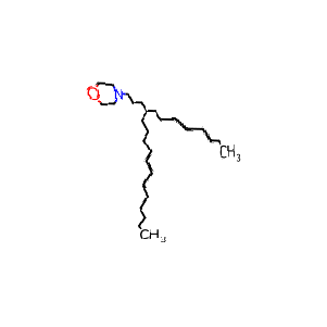 CCCCCCCCCCCCC(CCCCCCCC)CCCN1CCOCC1